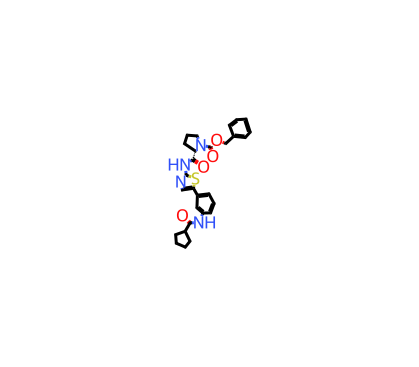 O=C(Nc1cccc(-c2cnc(NC(=O)[C@@H]3CCCN3C(=O)OCc3ccccc3)s2)c1)C1CCCC1